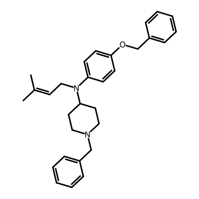 CC(C)=CCN(c1ccc(OCc2ccccc2)cc1)C1CCN(Cc2ccccc2)CC1